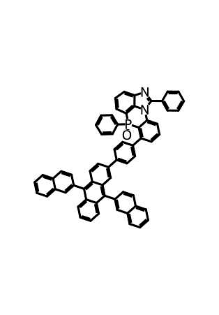 O=P1(c2ccccc2)c2c(-c3ccc(-c4ccc5c(-c6ccc7ccccc7c6)c6ccccc6c(-c6ccc7ccccc7c6)c5c4)cc3)cccc2-n2c(-c3ccccc3)nc3cccc1c32